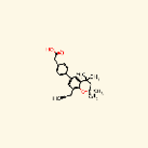 C#CCc1cc(-c2ccc(CC(=O)O)cc2)cc2c1OC(C)(C)CC2(C)C